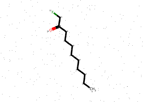 CCCCCCCCCC(=O)CF